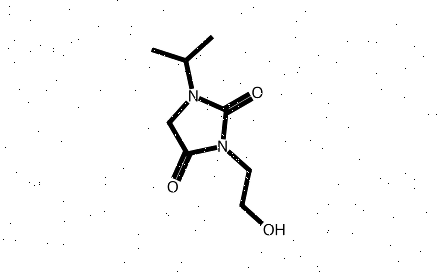 CC(C)N1CC(=O)N(CCO)C1=O